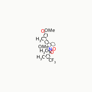 COC(=O)c1ccc(-c2ccc(OC)c(C3=C(CN4C(=O)O[C@H](c5cc(C)cc(C(F)(F)F)c5)[C@@H]4C)CCCC3)c2)c(C)c1